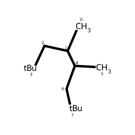 C[C](CC(C)(C)C)C(C)CC(C)(C)C